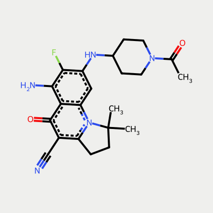 CC(=O)N1CCC(Nc2cc3c(c(N)c2F)c(=O)c(C#N)c2n3C(C)(C)CC2)CC1